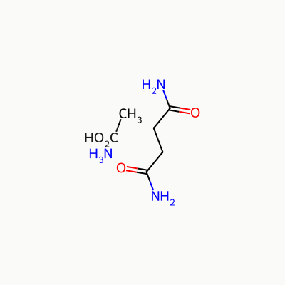 CC(=O)O.N.NC(=O)CCC(N)=O